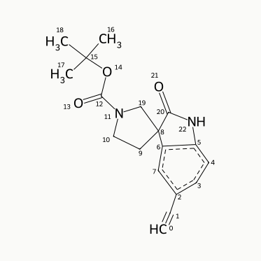 C#Cc1ccc2c(c1)C1(CCN(C(=O)OC(C)(C)C)C1)C(=O)N2